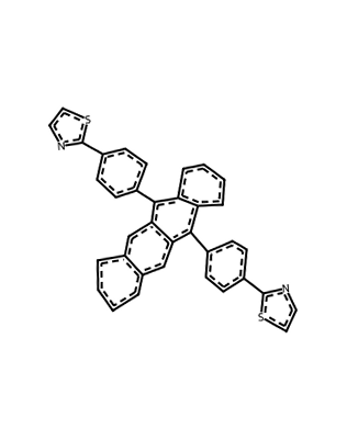 c1ccc2cc3c(-c4ccc(-c5nccs5)cc4)c4ccccc4c(-c4ccc(-c5nccs5)cc4)c3cc2c1